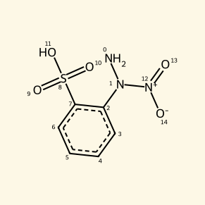 NN(c1ccccc1S(=O)(=O)O)[N+](=O)[O-]